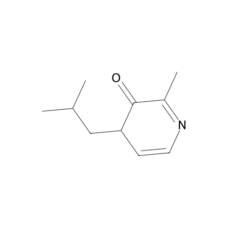 CC1=NC=CC(CC(C)C)C1=O